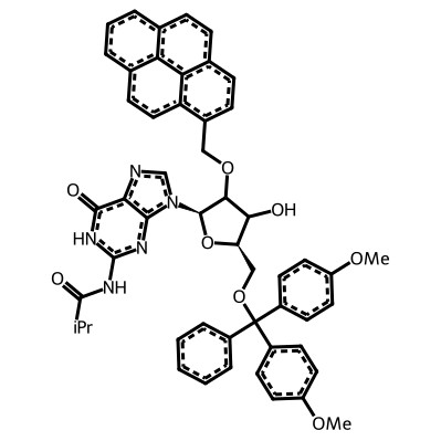 COc1ccc(C(OC[C@H]2O[C@@H](n3cnc4c(=O)[nH]c(NC(=O)C(C)C)nc43)C(OCc3ccc4ccc5cccc6ccc3c4c56)C2O)(c2ccccc2)c2ccc(OC)cc2)cc1